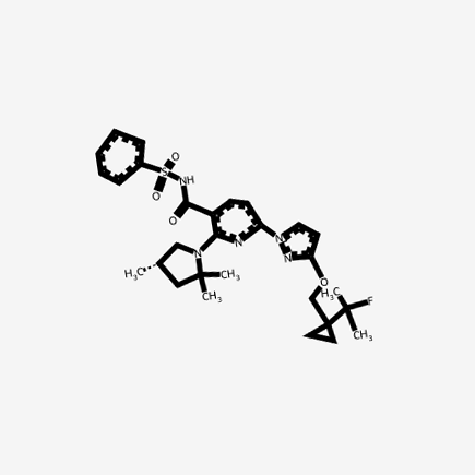 C[C@@H]1CN(c2nc(-n3ccc(OCC4(C(C)(C)F)CC4)n3)ccc2C(=O)NS(=O)(=O)c2ccccc2)C(C)(C)C1